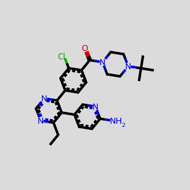 CCc1ncnc(-c2ccc(C(=O)N3CCN(C(C)(C)C)CC3)c(Cl)c2)c1-c1ccc(N)nc1